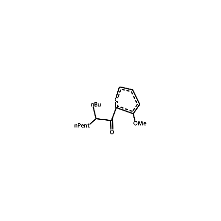 CCCCCC(CCCC)C(=O)c1ccccc1OC